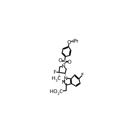 CC(C)Oc1ccc(S(=O)(=O)N2C[C@H](n3nc(CC(=O)O)c4ccc(F)cc43)[C@@](C)(F)C2)cc1